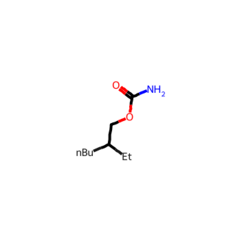 CCCCC(CC)COC(N)=O